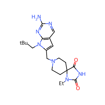 CCN1C(=O)NC(=O)C12CCN(Cc1cc3cnc(N)nc3n1CC(C)(C)C)CC2